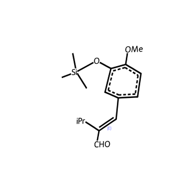 COc1ccc(/C=C(/C=O)C(C)C)cc1O[Si](C)(C)C